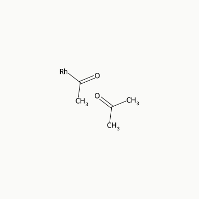 CC(C)=O.C[C](=O)[Rh]